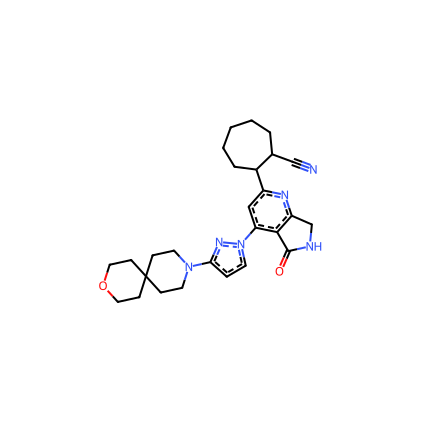 N#CC1CCCCCC1c1cc(-n2ccc(N3CCC4(CCOCC4)CC3)n2)c2c(n1)CNC2=O